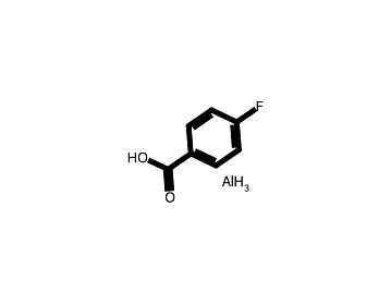 O=C(O)c1ccc(F)cc1.[AlH3]